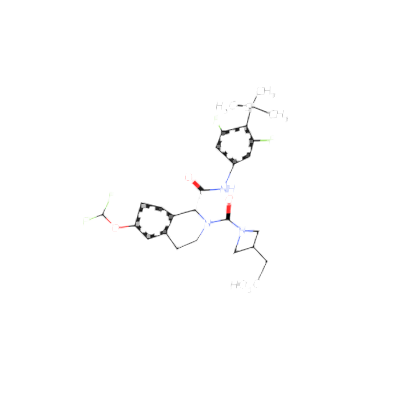 C[Si](C)(C)c1c(F)cc(NC(=O)[C@H]2c3ccc(OC(F)F)cc3CCN2C(=O)N2CC(CC(=O)O)C2)cc1F